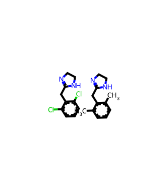 Cc1cccc(C)c1CC1=NCCN1.Clc1cccc(Cl)c1CC1=NCCN1